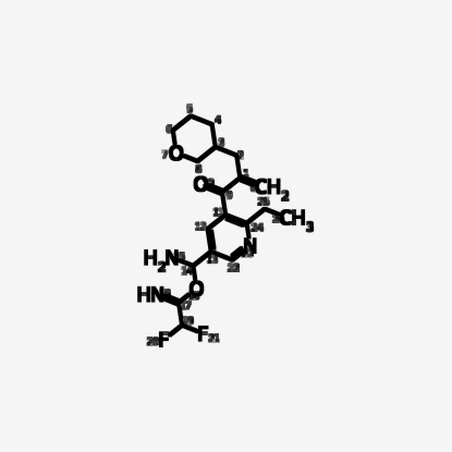 C=C(CC1CCCOC1)C(=O)c1cc(C(N)OC(=N)C(F)F)cnc1CC